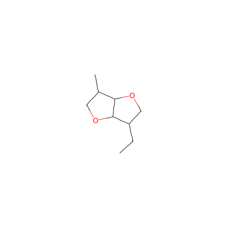 CCC1COC2C(C)COC12